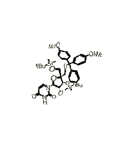 COc1ccc(C(OC[C@]2(CO[Si](C)(C)C(C)(C)C)O[C@@H](n3ccc(=O)[nH]c3=O)[C@@H](Cl)[C@@H]2O[Si](C)(C)C(C)(C)C)(c2ccccc2)c2ccc(OC)cc2)cc1